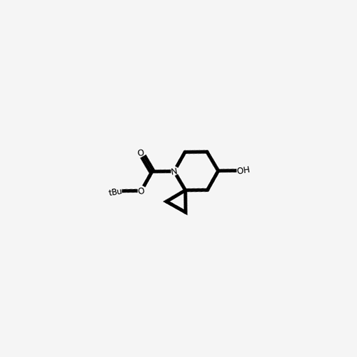 CC(C)(C)OC(=O)N1CCC(O)CC12CC2